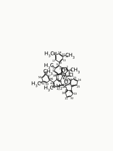 CC1=Cc2c(ccc(C)c2-c2cc(C)cc(C)c2)[CH]1[Zr]([Cl])([Cl])([c]1cccc2c1[SiH2]c1ccccc1-2)[CH]1C(C)=Cc2c1ccc(C)c2-c1cc(C)cc(C)c1